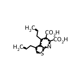 C=CCc1csc2nc(C(=O)O)c(C(=O)O)c(CC=C)c12